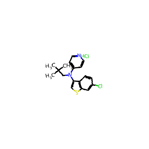 CC(C)(C)CN(c1ccncc1)c1csc2cc(Cl)ccc12.Cl